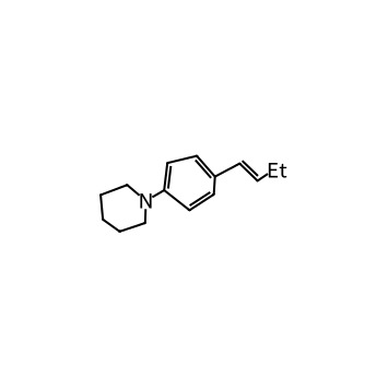 CC/C=C/c1ccc(N2CCCCC2)cc1